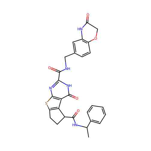 CC(NC(=O)C1CCc2sc3nc(C(=O)NCc4ccc5c(c4)NC(=O)CO5)[nH]c(=O)c3c21)c1ccccc1